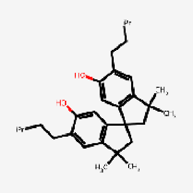 CC(C)CCc1cc2c(cc1O)C1(CC2(C)C)CC(C)(C)c2cc(CCC(C)C)c(O)cc21